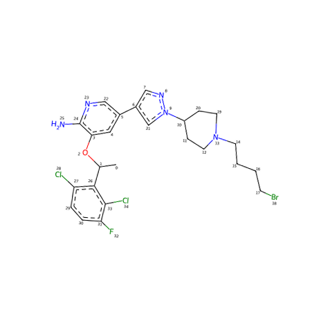 CC(Oc1cc(-c2cnn(C3CCN(CCCCBr)CC3)c2)cnc1N)c1c(Cl)ccc(F)c1Cl